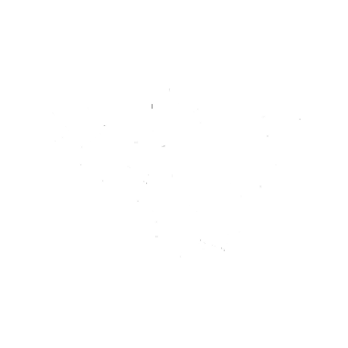 CS(=O)(=O)c1ccc(N(CC2CCOCC2)C(=O)c2ccn3ncc(-c4ccc(CF)cc4)c3c2)cc1